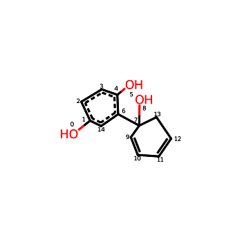 Oc1ccc(O)c(C2(O)C=CC=CC2)c1